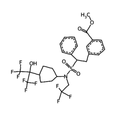 COC(=O)c1cccc(CC(c2ccccc2)S(=O)(=O)N(CC(F)(F)F)C2CCC(C(O)(C(F)(F)F)C(F)(F)F)CC2)c1